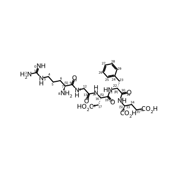 N=C(N)NCCC[C@H](N)C(=O)NCC(=O)N[C@@H](CC(=O)O)C(=O)N[C@H](Cc1ccccc1)C(=O)N[C@@H](CCC(=O)O)C(=O)O